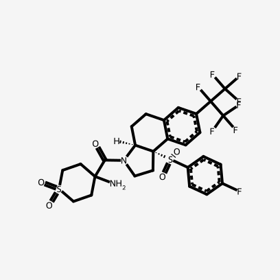 NC1(C(=O)N2CC[C@]3(S(=O)(=O)c4ccc(F)cc4)c4ccc(C(F)(C(F)(F)F)C(F)(F)F)cc4CC[C@H]23)CCS(=O)(=O)CC1